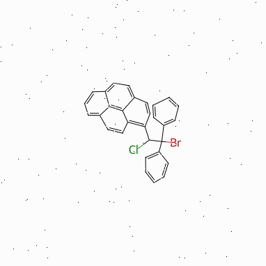 ClC(c1ccc2ccc3cccc4ccc1c2c34)C(Br)(c1ccccc1)c1ccccc1